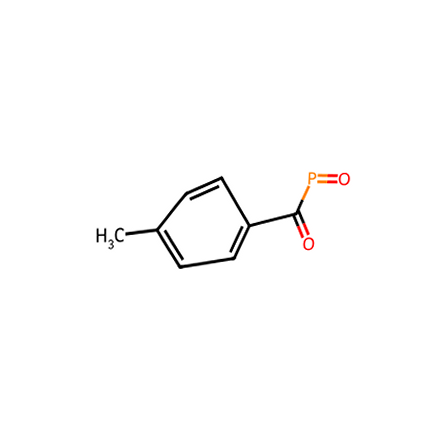 Cc1ccc(C(=O)P=O)cc1